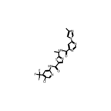 Cc1cn(-c2cc(C(=O)NC(C)c3ncc(C(=O)Nc4cc(C(F)(F)F)c(Cl)cn4)s3)ncn2)cn1